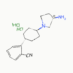 Cl.Cl.N#Cc1ccccc1[C@H]1CC[C@H](N2CC[C@@H](N)C2)CC1